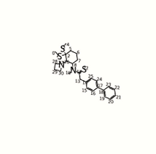 CSC1(SC)CCCC(N(C)C(=S)Cc2ccc(-c3ccccc3)cc2)C1N1CCC1